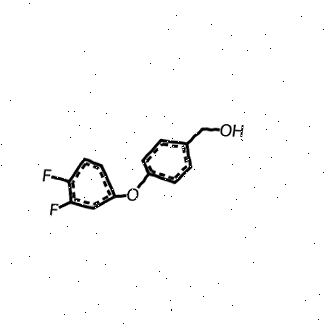 OCc1ccc(Oc2ccc(F)c(F)c2)cc1